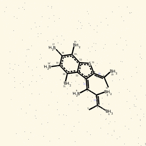 B/C(C)=C(B)/C(B)=c1\c(=C(\B)C)sc2c(B)c(B)c(B)c(B)c12